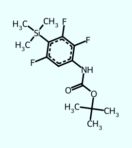 CC(C)(C)OC(=O)Nc1cc(F)c([Si](C)(C)C)c(F)c1F